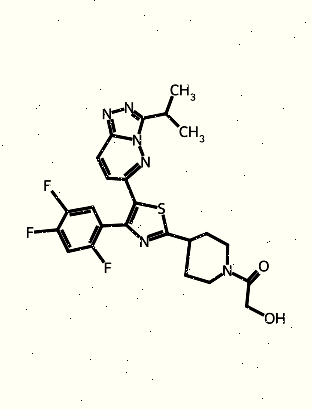 CC(C)c1nnc2ccc(-c3sc(C4CCN(C(=O)CO)CC4)nc3-c3cc(F)c(F)cc3F)nn12